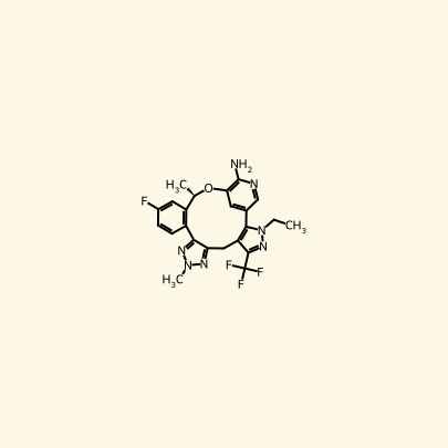 CCn1nc(C(F)(F)F)c2c1-c1cnc(N)c(c1)O[C@H](C)c1cc(F)ccc1-c1nn(C)nc1C2